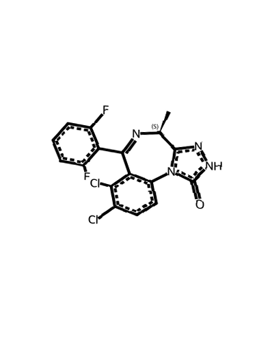 C[C@@H]1N=C(c2c(F)cccc2F)c2c(ccc(Cl)c2Cl)-n2c1n[nH]c2=O